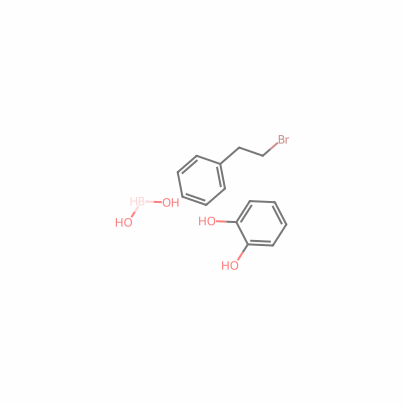 BrCCc1ccccc1.OBO.Oc1ccccc1O